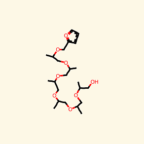 CC(CO)OCC(C)OCC(C)OCC(C)OCC(C)OCC(C)OCc1ccco1